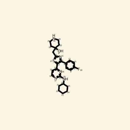 OC1(Cc2nc(-c3ccc(F)cc3)c(-c3ccnc(NC4CCCCC4)n3)s2)CCNCC1